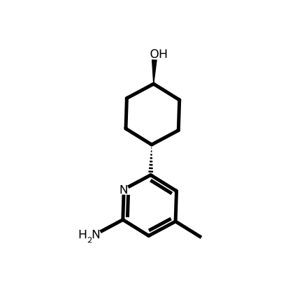 Cc1cc(N)nc([C@H]2CC[C@H](O)CC2)c1